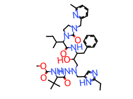 CCc1ncc(CN(CC(O)C(Cc2ccccc2)NC(=O)C(C(C)CC)N2CCN(Cc3cccc(C)n3)C2=O)NC(=O)C(NC(=O)OC)C(C)(C)C)[nH]1